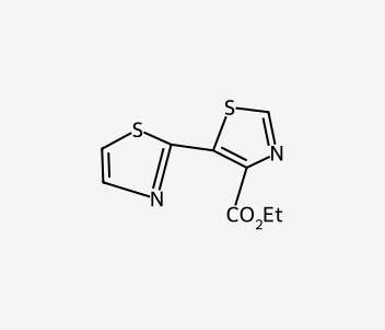 CCOC(=O)c1ncsc1-c1nccs1